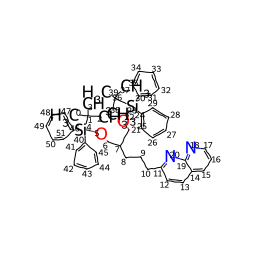 CC(C)(C)[Si](OCC(CCCc1ccc2cccnc2n1)CO[Si](c1ccccc1)(c1ccccc1)C(C)(C)C)(c1ccccc1)c1ccccc1